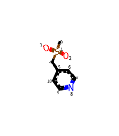 [CH2]S(=O)(=O)Cc1ccncc1